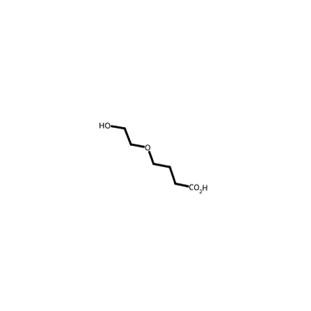 O=C(O)CCCOCCO